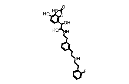 O=c1[nH]c2c(O)ccc(C(O)C(O)NCCc3cccc(CCNCCc4ccccc4F)c3)c2s1